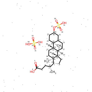 C[C@H](CCC(=O)O)[C@H]1CC[C@H]2[C@@H]3CCC4C[C@H](OS(=O)(=O)O)CC[C@]4(C)[C@H]3CC[C@]12C.O=S(=O)(O)O